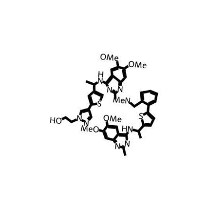 CNCc1ccccc1-c1ccc(C(C)Nc2nc(C)nc3cc(OC)c(OC)cc23)s1.COc1cc2nc(C)nc(NC(C)c3csc(-c4cnn(CCO)c4)c3)c2cc1OC